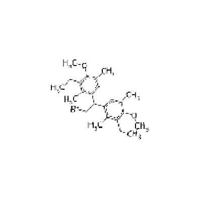 CCc1c(C)c(C(CBr)c2cc(C)c(OC)c(CC)c2C)cc(C)c1OC